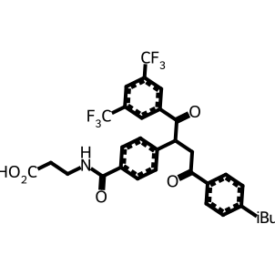 CCC(C)c1ccc(C(=O)CC(C(=O)c2cc(C(F)(F)F)cc(C(F)(F)F)c2)c2ccc(C(=O)NCCC(=O)O)cc2)cc1